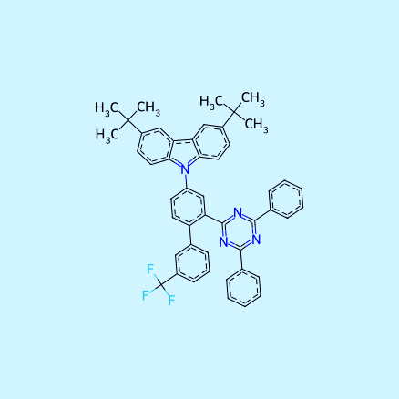 CC(C)(C)c1ccc2c(c1)c1cc(C(C)(C)C)ccc1n2-c1ccc(-c2cccc(C(F)(F)F)c2)c(-c2nc(-c3ccccc3)nc(-c3ccccc3)n2)c1